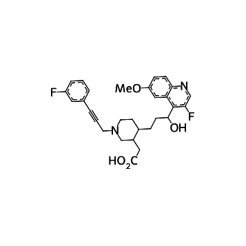 COc1ccc2ncc(F)c(C(O)CCC3CCN(CC#Cc4cccc(F)c4)CC3CC(=O)O)c2c1